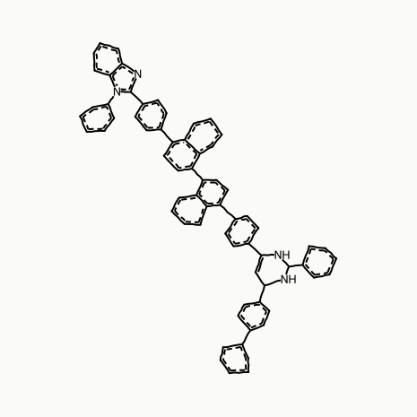 C1=C(c2ccc(-c3ccc(-c4ccc(-c5ccc(-c6nc7ccccc7n6-c6ccccc6)cc5)c5ccccc45)c4ccccc34)cc2)NC(c2ccccc2)NC1c1ccc(-c2ccccc2)cc1